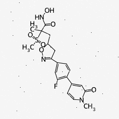 Cn1ccc(-c2ccc(C3=NOC(CC(C)(C(=O)NO)S(C)(=O)=O)C3)cc2F)cc1=O